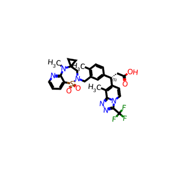 Cc1ccc([C@H](CC(=O)O)c2ccn3c(C(F)(F)F)nnc3c2C)cc1CN1CC2(CC2)N(C)c2ncccc2S1(=O)=O